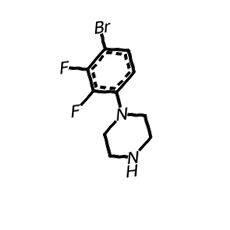 Fc1c(Br)ccc(N2CCNCC2)c1F